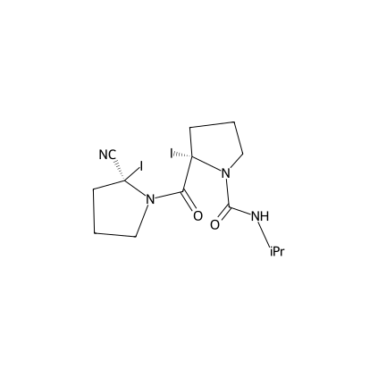 CC(C)NC(=O)N1CCC[C@]1(I)C(=O)N1CCC[C@]1(I)C#N